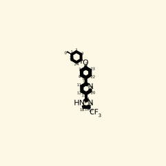 C[C@H]1CC[C@H](Oc2ccc(-c3ccc(-c4nc(C(F)(F)F)c[nH]4)cn3)cc2)CC1